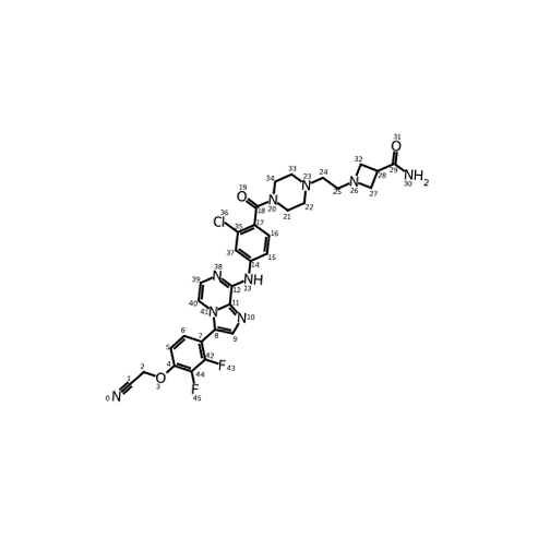 N#CCOc1ccc(-c2cnc3c(Nc4ccc(C(=O)N5CCN(CCN6CC(C(N)=O)C6)CC5)c(Cl)c4)nccn23)c(F)c1F